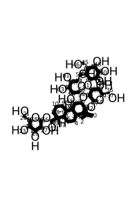 C=C1C[C@@]23CC[C@H]4[C@@](C)(CCC[C@@]4(C)C(=O)O[C@@H]4O[C@H](CO)[C@@H](O)[C@H](O)[C@H]4O)[C@@H]2CC[C@]1(O[C@@H]1O[C@H](CO)[C@@H](O)[C@H](OC2C[C@H](CO)[C@@H](O)[C@H](O)[C@H]2O)[C@H]1OC1O[C@H](CO)[C@@H](O)[C@H](O)[C@H]1O)C3